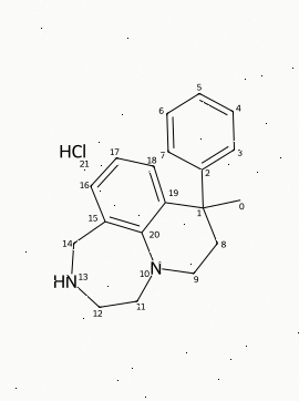 CC1(c2ccccc2)CCN2CCNCc3cccc1c32.Cl